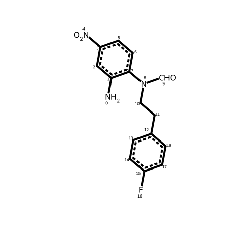 Nc1cc([N+](=O)[O-])ccc1N(C=O)CCc1ccc(F)cc1